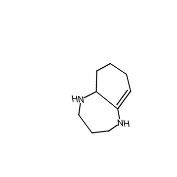 C1=C2NCCCNC2CCC1